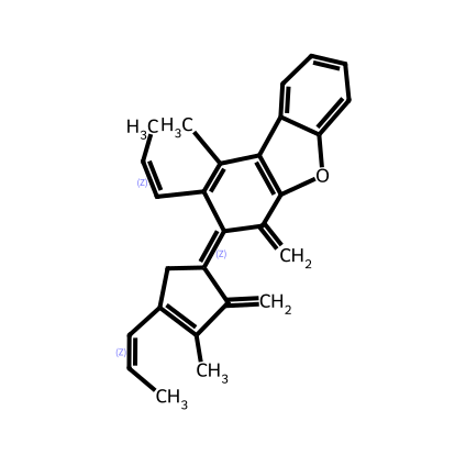 C=C1C(C)=C(/C=C\C)C/C1=c1\c(/C=C\C)c(C)c2c(oc3ccccc32)c1=C